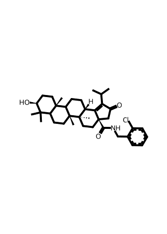 CC(C)C1=C2[C@H]3CCC4[C@@]5(C)CC[C@H](O)C(C)(C)C5CC[C@@]4(C)[C@]3(C)CC[C@@]2(C(=O)NCc2ccccc2Cl)CC1=O